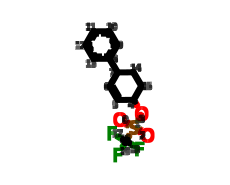 O=S(=O)(OC1C=CC(c2ccccc2)CC1)C(F)(F)F